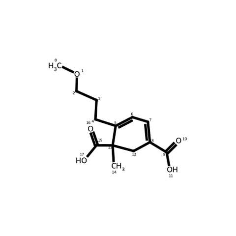 COCCCC1=CC=C(C(=O)O)CC1(C)C(=O)O